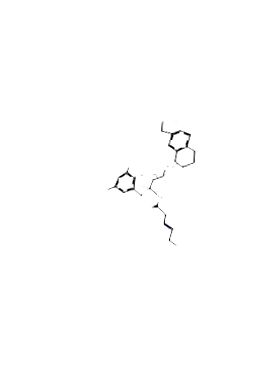 CC/C=C/CC(=O)N[C@@H](Cc1cc(F)cc(F)c1)[C@H](O)CN[C@H]1CCCc2ccc(CC)cc21